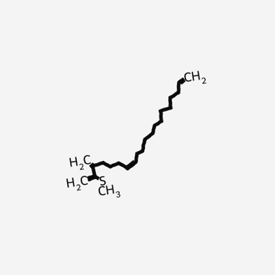 C=CCCCCCCCCCC/C=C\CCCC(=C)C(=C)SC